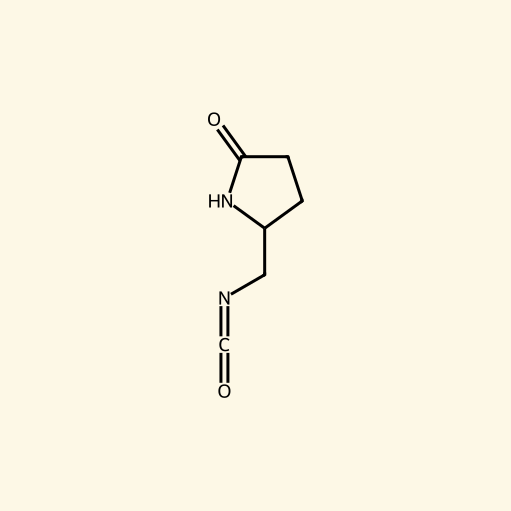 O=C=NCC1CCC(=O)N1